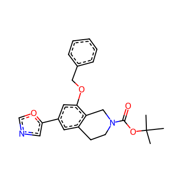 CC(C)(C)OC(=O)N1CCc2cc(-c3cnco3)cc(OCc3ccccc3)c2C1